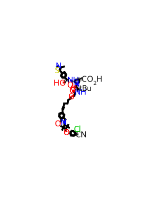 Cc1ncsc1-c1ccc([C@H](CO)NC(=O)[C@@H]2C[C@H](CC(=O)O)CN2C(=O)[C@@H](NC(=O)COCCCCC#Cc2ccc3c(c2)CN(C2C(C)(C)C(Oc4ccc(C#N)c(Cl)c4)C2(C)C)C3=O)C(C)(C)C)cc1